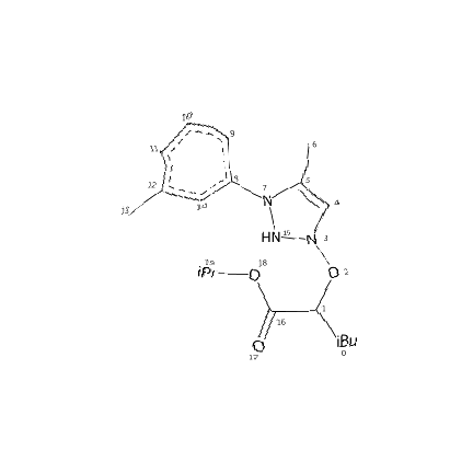 CCC(C)C(ON1C=C(C)N(c2cccc(C)c2)N1)C(=O)OC(C)C